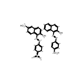 O=S(=O)(O)c1ccc(N=Nc2c(O)ccc3ccccc23)cc1.O=S(=O)=C1C=CC(N=Nc2c(O)ccc3cc(S(=O)(=O)O)ccc23)=CC1